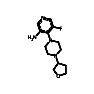 Nc1cncc(F)c1N1CCN(C2CCOC2)CC1